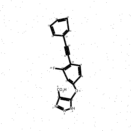 O=C(O)c1nn[nH]c1Oc1ccc(C#Cc2ccccc2)c(F)c1